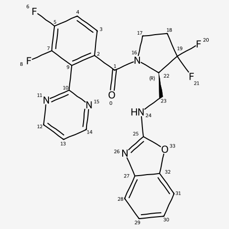 O=C(c1ccc(F)c(F)c1-c1ncccn1)N1CCC(F)(F)[C@H]1CNc1nc2ccccc2o1